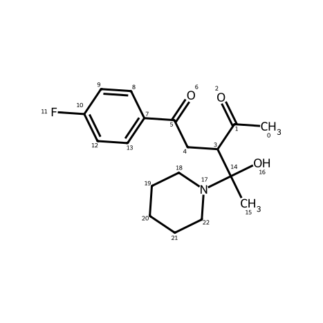 CC(=O)C(CC(=O)c1ccc(F)cc1)C(C)(O)N1CCCCC1